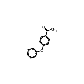 CC(=O)c1ccc(Oc2c[c]ccc2)cc1